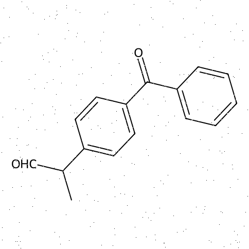 CC(C=O)c1ccc(C(=O)c2ccccc2)cc1